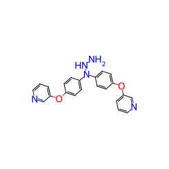 NNN(c1ccc(Oc2cccnc2)cc1)c1ccc(Oc2cccnc2)cc1